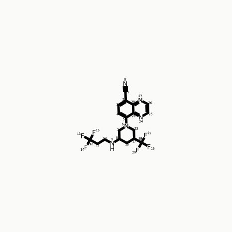 N#Cc1ccc(N2CC(NCCC(F)(F)F)CC(C(F)(F)F)C2)c2nccnc12